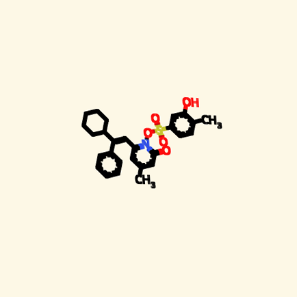 Cc1cc(C=C(c2ccccc2)C2CCCCC2)n(OS(=O)(=O)c2ccc(C)c(O)c2)c(=O)c1